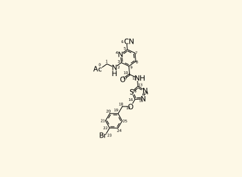 CC(=O)CNc1nc(C#N)ccc1C(=O)Nc1nnc(OCc2ccc(Br)cc2)s1